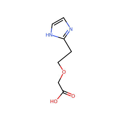 O=C(O)COCCc1ncc[nH]1